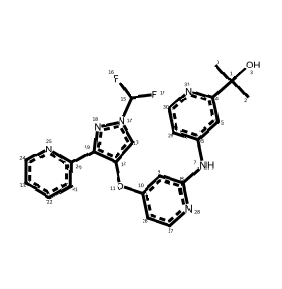 CC(C)(O)c1cc(Nc2cc(Oc3cn(C(F)F)nc3-c3ccccn3)ccn2)ccn1